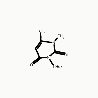 CCCCCCn1c(=O)cc(C(F)(F)F)n(C)c1=S